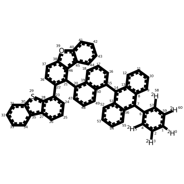 [2H]c1c([2H])c([2H])c(-c2c3ccccc3c(-c3cccc4c(-c5c(-c6cccc7c6sc6ccccc67)ccc6oc7ccccc7c56)cccc34)c3ccccc23)c([2H])c1[2H]